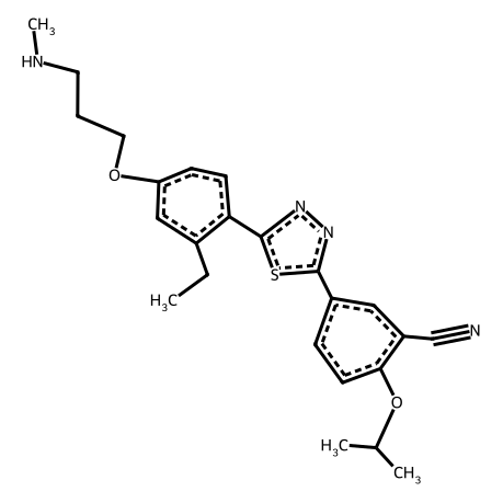 CCc1cc(OCCCNC)ccc1-c1nnc(-c2ccc(OC(C)C)c(C#N)c2)s1